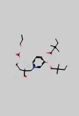 CCCOC(=O)O[C@@H](C)CC(N)(Cc1ccc(OC(=O)C(C)(C)CC)c(OC(=O)C(C)(C)CC)c1)C(=O)O